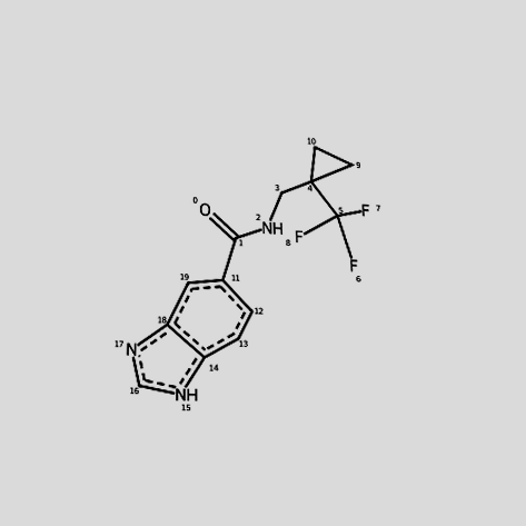 O=C(NCC1(C(F)(F)F)CC1)c1ccc2[nH]cnc2c1